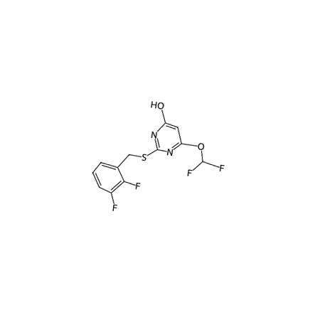 Oc1cc(OC(F)F)nc(SCc2cccc(F)c2F)n1